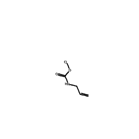 C=CCNC(=O)OCl